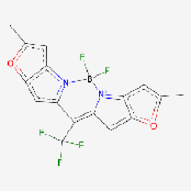 Cc1cc2c(o1)=CC1=C(C(F)(F)F)c3cc4oc(C)cc4n3[B-](F)(F)[N+]=21